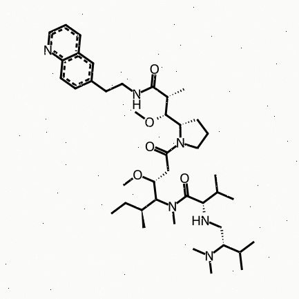 CC[C@H](C)C([C@@H](CC(=O)N1CCC[C@H]1[C@H](OC)[C@@H](C)C(=O)NCCc1ccc2ncccc2c1)OC)N(C)C(=O)[C@@H](NC[C@H](C(C)C)N(C)C)C(C)C